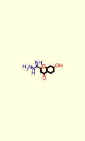 N=C(NN)c1cc(=O)c2ccc(O)cc2o1